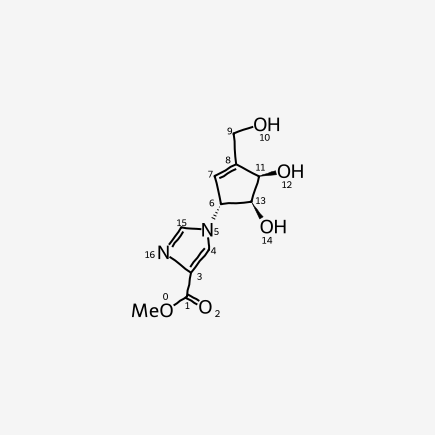 COC(=O)c1cn([C@@H]2C=C(CO)[C@@H](O)[C@H]2O)cn1